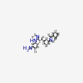 C=C(/C=C(\N=C/C)Nc1ccc(C)c(N)c1)c1cccc(N2CCc3ccccc3C2=C)c1